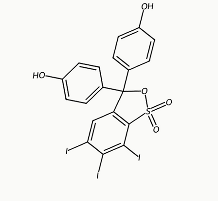 O=S1(=O)OC(c2ccc(O)cc2)(c2ccc(O)cc2)c2cc(I)c(I)c(I)c21